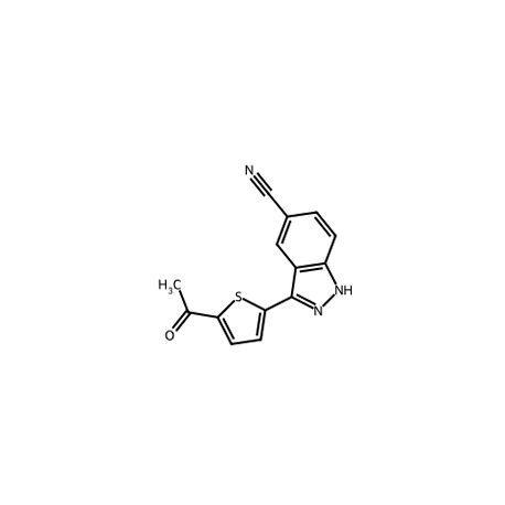 CC(=O)c1ccc(-c2n[nH]c3ccc(C#N)cc23)s1